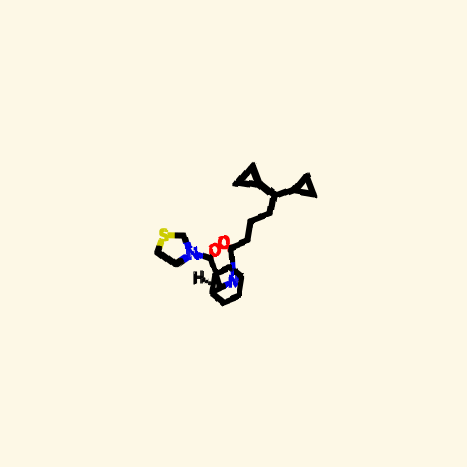 O=C([C@@H]1C2CCC(CC2)N1C(=O)CCCC(C1CC1)C1CC1)N1CCSC1